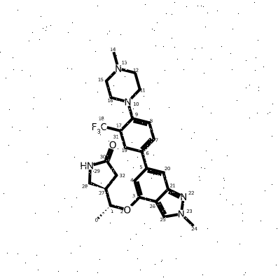 C[C@@H](Oc1cc(C2=CC=C(N3CCN(C)CC3)C(C(F)(F)F)C2)cc2nn(C)cc12)[C@H]1CNC(=O)C1